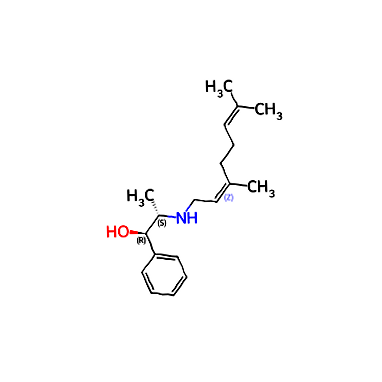 CC(C)=CCC/C(C)=C\CN[C@@H](C)[C@H](O)c1ccccc1